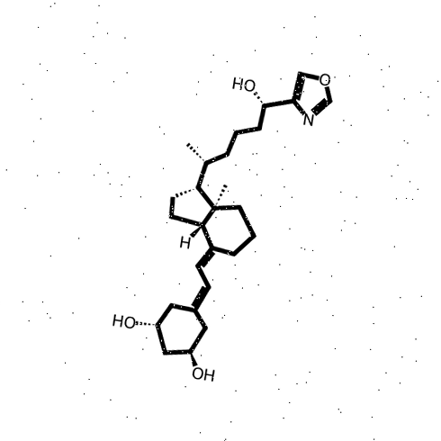 C[C@H](CCC[C@H](O)c1cocn1)[C@H]1CC[C@H]2/C(=C/C=C3C[C@@H](O)C[C@H](O)C3)CCC[C@]12C